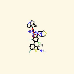 N#Cc1c(N)sc2c(F)ccc(-c3c(Cl)cc4c(N5C6CSCC5CN(C(=O)[C@@H]5N[C@@H]5C5CC5)C6)nc(OCC56CCCN5CCC6)nc4c3F)c12